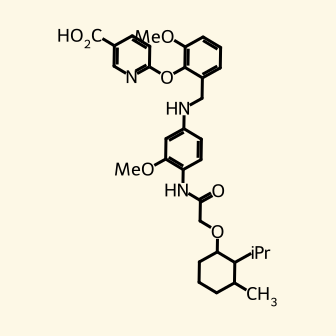 COc1cc(NCc2cccc(OC)c2Oc2ccc(C(=O)O)cn2)ccc1NC(=O)COC1CCCC(C)C1C(C)C